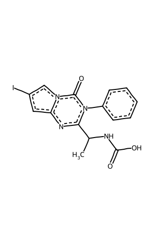 CC(NC(=O)O)c1nc2cc(I)cn2c(=O)n1-c1ccccc1